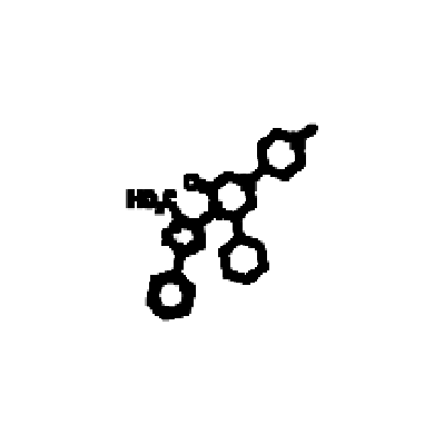 CN1CCC(N2CC(=O)N(c3cc(-c4ccccc4)sc3C(=O)O)C(C3CCCCC3)C2)CC1